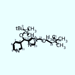 CC(C)(C)[Si](C)(C)OC(c1cccnc1)c1cn(COCC[Si](C)(C)C)cn1